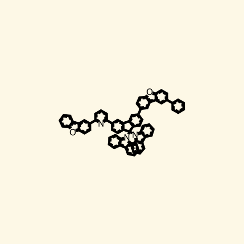 c1ccc(-c2ccc3oc4ccc(-c5ccc6c(c5)-c5cc(-c7cccc(-c8ccc9oc%10ccccc%10c9c8)n7)ccc5C6(n5c6ccccc6c6ccccc65)n5c6ccccc6c6ccccc65)cc4c3c2)cc1